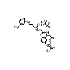 Cc1ccnc(NCCCC(=O)NCC(=O)NC(CC(=O)OCOC(=O)C(C)(C)C)c2cccc([N+](=O)[O-])c2)c1.O=C(O)C(F)(F)F